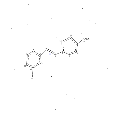 CSc1ccc(/C=C/c2cccc(I)c2)cc1